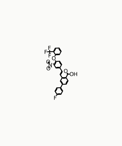 O=C(O)c1ccc(-c2ccc(F)cc2)cc1C=Cc1ccc(Oc2ccccc2C(F)(F)F)c([N+](=O)[O-])c1